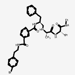 CCNC(=O)[C@@H](NC(=O)[C@H](C)NC[C@H](Cc1ccccc1)NC(=O)c1cccc(C(=O)NCCc2ccc(Br)cc2)c1)C(C)C